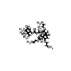 C=CCOC(=O)N[C@@]1(C(=O)OC(C)OC(=O)O[C@H]2C[C@@H](C)C(C)(C)C2(C)CC)[C@H](OCCC)C[C@@H]2[C@H]1[C@@]2(F)C(=O)OCC=C